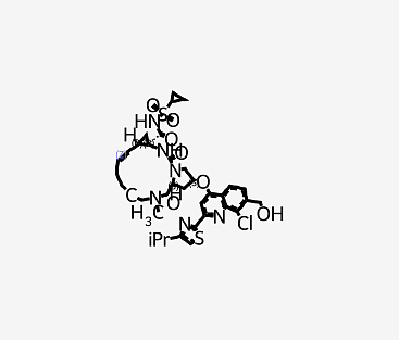 CC(C)c1csc(-c2cc(O[C@H]3C[C@H]4C(=O)N(C)CCCC/C=C\[C@H]5C[C@@]5(C(=O)NS(=O)(=O)C5CC5)NC(=O)N4C3)c3ccc(CO)c(Cl)c3n2)n1